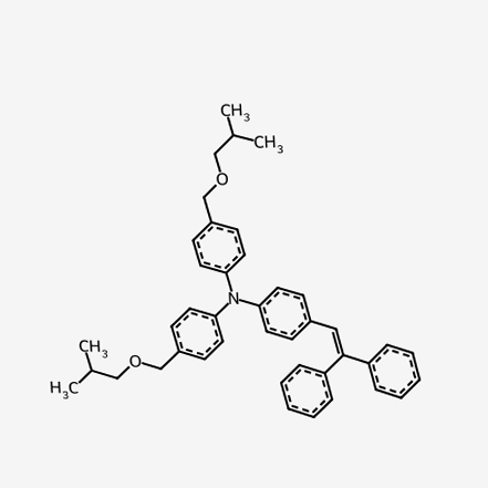 CC(C)COCc1ccc(N(c2ccc(C=C(c3ccccc3)c3ccccc3)cc2)c2ccc(COCC(C)C)cc2)cc1